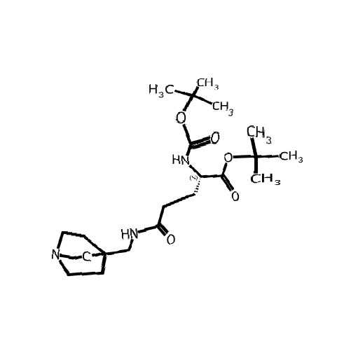 CC(C)(C)OC(=O)N[C@@H](CCC(=O)NCC12CCN(CC1)CC2)C(=O)OC(C)(C)C